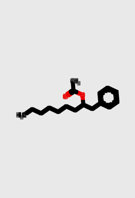 CCCCCCCC(Cc1ccccc1)OC(C)=O